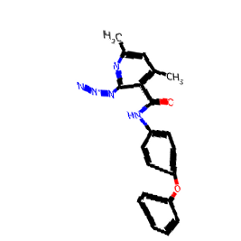 Cc1cc(C)c(C(=O)Nc2ccc(Oc3ccccc3)cc2)c(N=[N+]=[N-])n1